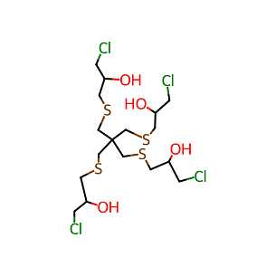 OC(CCl)CSCC(CSCC(O)CCl)(CSCC(O)CCl)CSCC(O)CCl